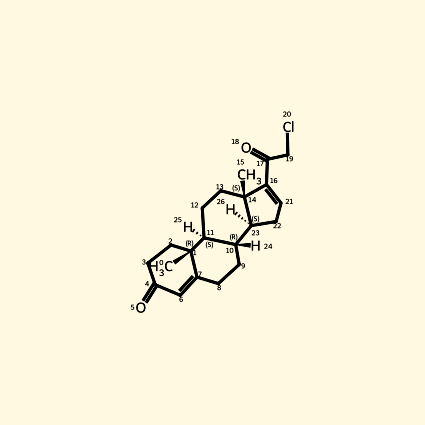 C[C@]12CCC(=O)C=C1CC[C@@H]1[C@@H]2CC[C@]2(C)C(C(=O)CCl)=CC[C@@H]12